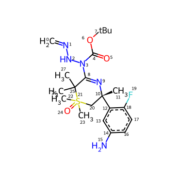 C=NNN(C(=O)OC(C)(C)C)C1=N[C@](C)(c2cc(N)ccc2F)CS(C)(C)(=O)C1(C)C